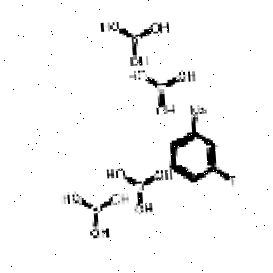 Fc1ccc[c]([Na])c1.OB(O)O.OB(O)O.OB(O)O.OB(O)O